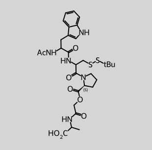 CC(=O)NC(Cc1c[nH]c2ccccc12)C(=O)NC(CSSC(C)(C)C)C(=O)N1CCC[C@H]1C(=O)OCC(=O)NC(C)C(=O)O